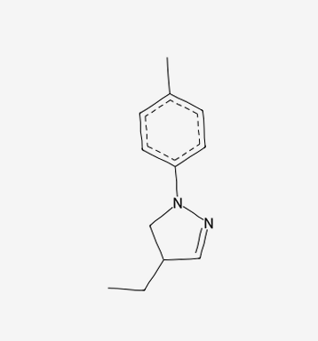 CCC1C=NN(c2ccc(C)cc2)C1